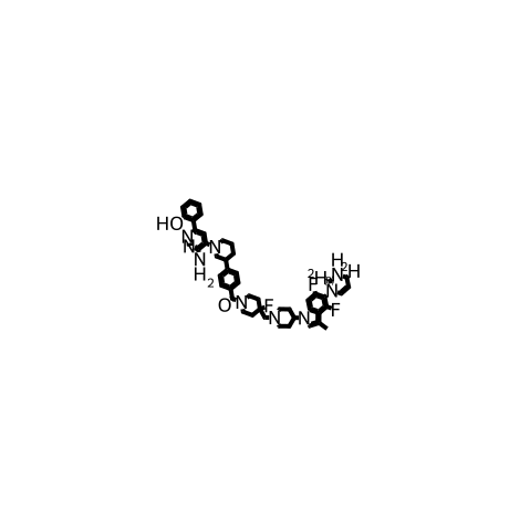 [2H]C1C=CN(c2c(F)cc3c(c(C)cn3C3CCN(CC4(F)CCN(C(=O)c5ccc(C6CCCN(c7cc(-c8ccccc8O)nnc7N)C6)cc5)CC4)CC3)c2F)[C@H]([2H])N1